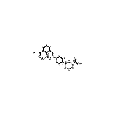 COC(=O)c1cccc(C=Nc2ccc(C3CCCN(C(=O)O)C3)cc2)c1[N+](=O)[O-]